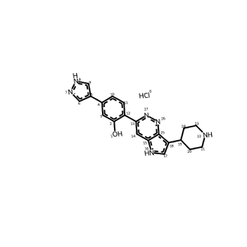 Cl.Oc1cc(-c2cn[nH]c2)ccc1-c1cc2[nH]cc(C3CCNCC3)c2nn1